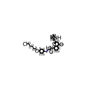 O=C(/C=C/c1ccc(OCCCCCCl)cc1)Nc1cccc2c(=O)cc(-c3nnn[nH]3)oc12